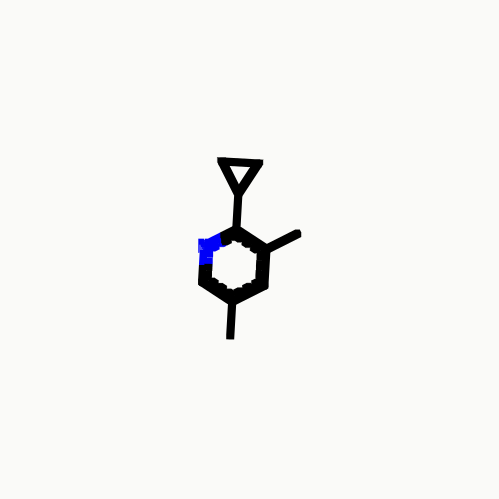 Cc1cnc(C2CC2)c(C)c1